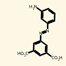 Nc1cccc(N=Nc2cc(C(=O)O)cc(C(=O)O)c2)c1